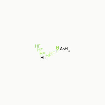 F.F.F.F.F.F.[AsH3].[LiH]